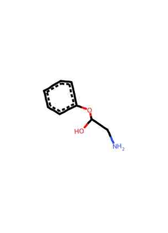 NCC(O)Oc1ccccc1